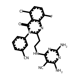 N#Cc1cccc(-n2c(CCNc3nc(N)nc(N)c3C#N)nc3c(F)ccc(Cl)c3c2=O)c1